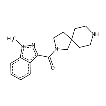 Cn1nc(C(=O)N2CCC3(CCNCC3)C2)c2ccccc21